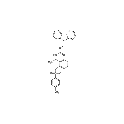 Cc1ccc(S(=O)(=O)Oc2ccccc2C(C)NC(=O)OCC2c3ccccc3-c3ccccc32)cc1